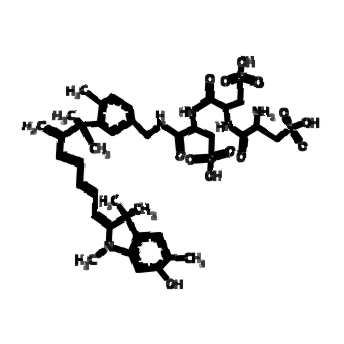 C=C(/C=C/C=C/C=C1/N(C)c2cc(O)c(C)cc2C1(C)C)C(C)(C)c1cc(CNC(=O)C(CS(=O)(=O)O)NC(=O)C(CS(=O)(=O)O)NC(=O)C(N)CS(=O)(=O)O)ccc1C